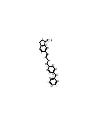 OC1CCc2ccc(/C=C/CCc3ccc(Cc4ccccc4)cc3)cc21